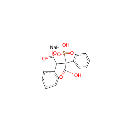 O=C(O)C(c1ccccc1)C(C(=O)O)(c1ccccc1)S(=O)(=O)O.[NaH]